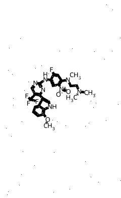 COc1cccc2c(-c3nc(Nc4cc([N+](=O)[O-])c(N(C)CCN(C)C)cc4F)ncc3C(F)(F)F)c[nH]c12